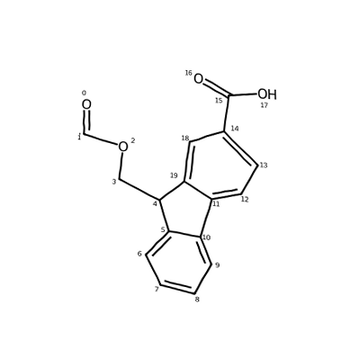 O=[C]OCC1c2ccccc2-c2ccc(C(=O)O)cc21